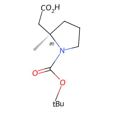 CC(C)(C)OC(=O)N1CCC[C@]1(C)CC(=O)O